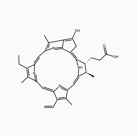 C=CC1=C(C)C2=NC1=CC1=NC(=CC3=C(C)C4=C(O)CC(=C5NC(=C2)[C@H](C)[C@H]5CCC(=O)O)C4=N3)C(CC)=C1C